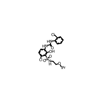 CC(C)OCCNS(=O)(=O)c1c(Cl)ccc(NC(=O)Nc2ccccc2Cl)c1O